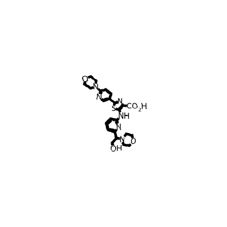 O=C(O)c1nc(-c2ccc(N3CCOCC3)nc2)sc1Nc1cccc(C(CO)N2CCOCC2)n1